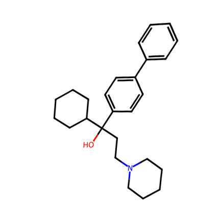 OC(CCN1CCCCC1)(c1ccc(-c2ccccc2)cc1)C1CCCCC1